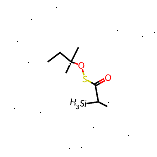 CCC(C)(C)OSC(=O)C(C)[SiH3]